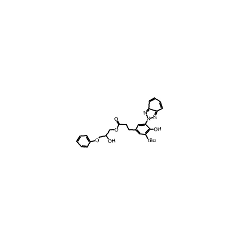 CC(C)(C)c1cc(CCC(=O)OCC(O)COc2ccccc2)cc(-n2nc3ccccc3n2)c1O